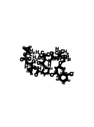 CCOc1cc(O[C@@H]2C[C@@H](C(=O)NC3(C(=O)NS(=O)(=O)OC4(C)CC4)CC3)N(C(=O)[C@@H](NC(=O)NC(C)(C)C)C(C)(C)C)C2)c2cccc(Cl)c2n1